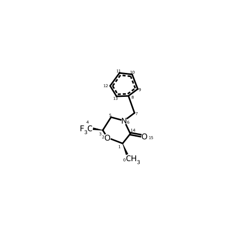 C[C@H]1O[C@@H](C(F)(F)F)CN(Cc2ccccc2)C1=O